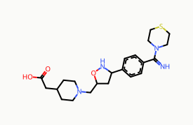 N=C(c1ccc(C2CC(CN3CCC(CC(=O)O)CC3)ON2)cc1)N1CCSCC1